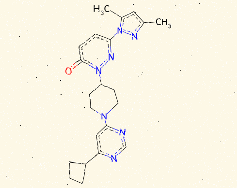 Cc1cc(C)n(-c2ccc(=O)n(C3CCN(c4cc(C5CCC5)ncn4)CC3)n2)n1